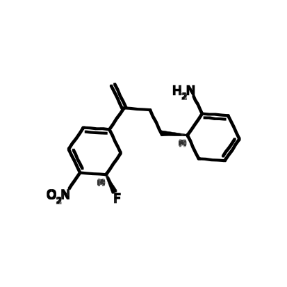 C=C(CC[C@@H]1CC=CC=C1N)C1=CC=C([N+](=O)[O-])[C@H](F)C1